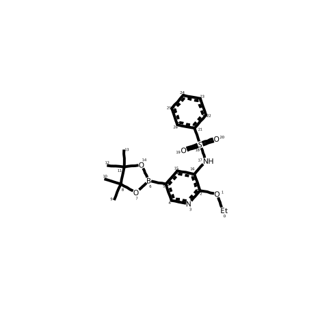 CCOc1ncc(B2OC(C)(C)C(C)(C)O2)cc1NS(=O)(=O)c1ccccc1